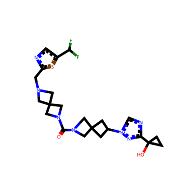 O=C(N1CC2(CC(n3cnc(C4(O)CC4)n3)C2)C1)N1CC2(CN(Cc3ncc(C(F)F)s3)C2)C1